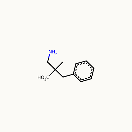 CC(CN)(Cc1ccccc1)C(=O)O